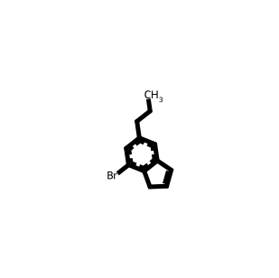 CCCc1cc(Br)c2c(c1)C=CC2